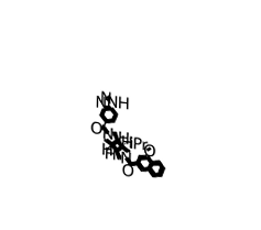 CC(C)Oc1cc(C(=O)N2C[C@@H]3[C@H](C2)[C@H]2CN(C(=O)[C@@H]4CCc5[nH]nnc5C4)C[C@@H]32)cc2ccccc12